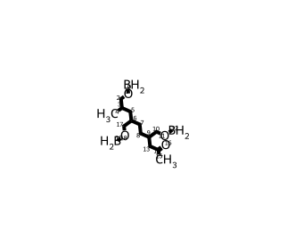 BOCC(C)CC(CCC(COB)CC(C)=O)COB